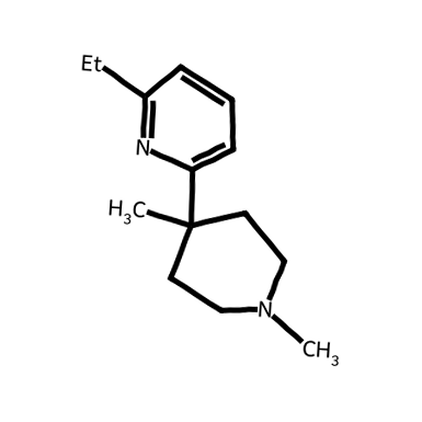 CCc1cccc(C2(C)CCN(C)CC2)n1